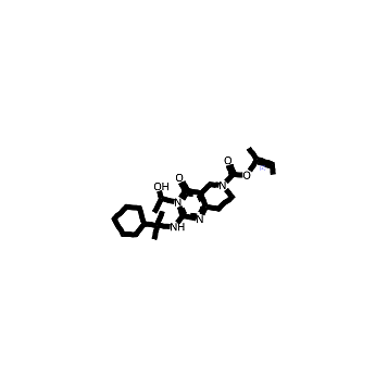 C/C=C(/C)OC(=O)N1CCc2nc(NC(C)(C)C3CCCCC3)n(C(C)O)c(=O)c2C1